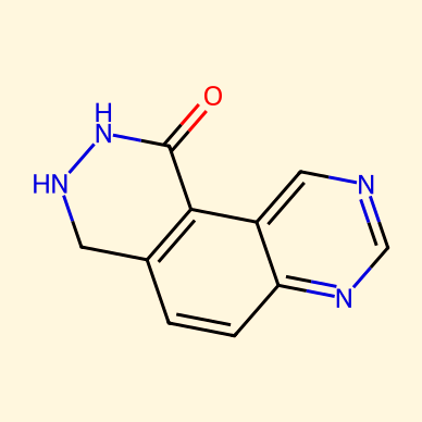 O=C1NNCc2ccc3ncncc3c21